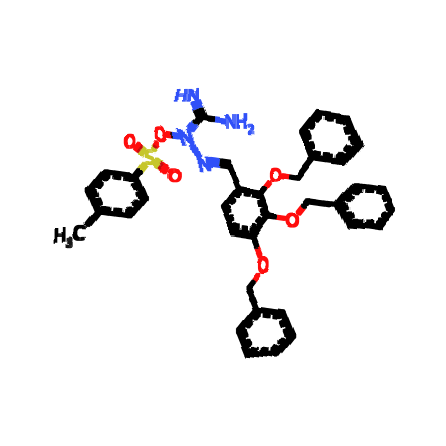 Cc1ccc(S(=O)(=O)ON(N=Cc2ccc(OCc3ccccc3)c(OCc3ccccc3)c2OCc2ccccc2)C(=N)N)cc1